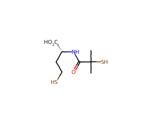 CC(C)(S)C(=O)N[C@H](CCS)C(=O)O